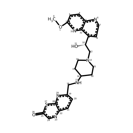 COc1ccc2nccc([C@@H](O)CN3CCC(NCc4ccc5ncc(=O)sc5n4)CC3)c2n1